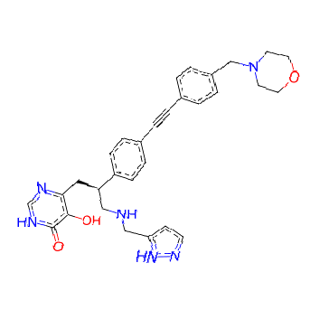 O=c1[nH]cnc(C[C@H](CNCc2ccn[nH]2)c2ccc(C#Cc3ccc(CN4CCOCC4)cc3)cc2)c1O